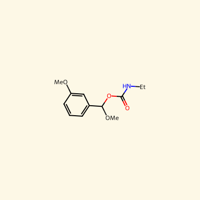 CCNC(=O)OC(OC)c1cccc(OC)c1